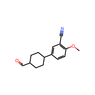 COc1ccc(C2CCC(C=O)CC2)cc1C#N